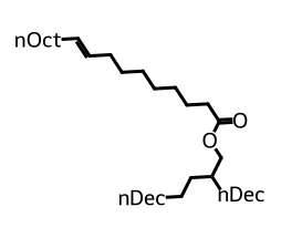 CCCCCCCCC=CCCCCCCCC(=O)OCC(CCCCCCCCCC)CCCCCCCCCCCC